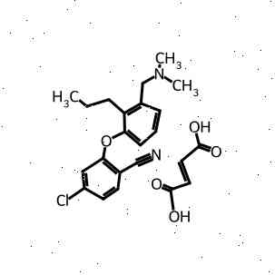 CCCc1c(CN(C)C)cccc1Oc1cc(Cl)ccc1C#N.O=C(O)C=CC(=O)O